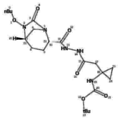 CCCCON1C(=O)N2C[C@@H]1CC[C@H]2C(=O)NNC(=O)CC1(NC(=O)OC(C)(C)C)CC1